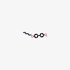 C/C=C/C=C/COc1ccc(-c2ccc(OC)cc2)cc1